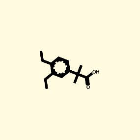 CCc1ccc(C(C)(C)C(=O)O)cc1CC